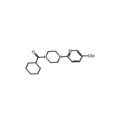 O=C(C1CCCCC1)N1CCN(c2ccc(O)cn2)CC1